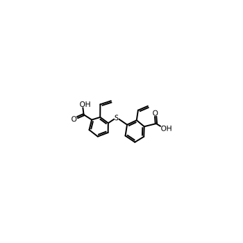 C=Cc1c(Sc2cccc(C(=O)O)c2C=C)cccc1C(=O)O